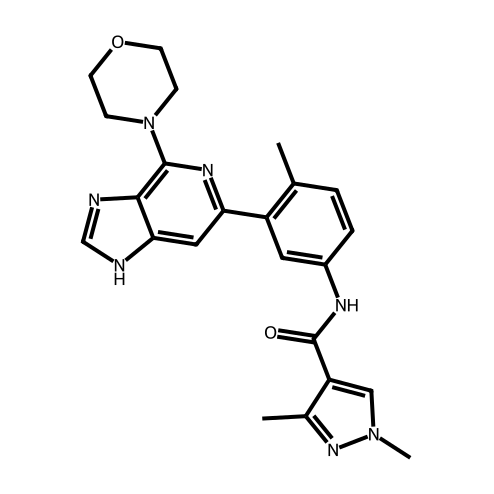 Cc1ccc(NC(=O)c2cn(C)nc2C)cc1-c1cc2[nH]cnc2c(N2CCOCC2)n1